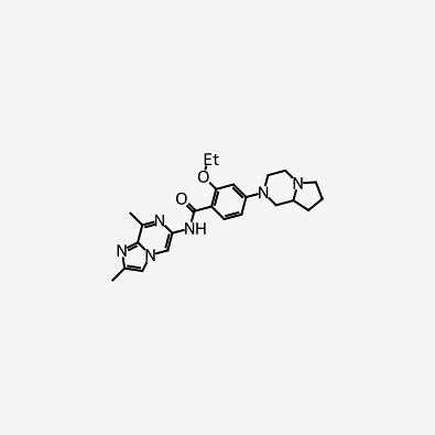 CCOc1cc(N2CCN3CCCC3C2)ccc1C(=O)Nc1cn2cc(C)nc2c(C)n1